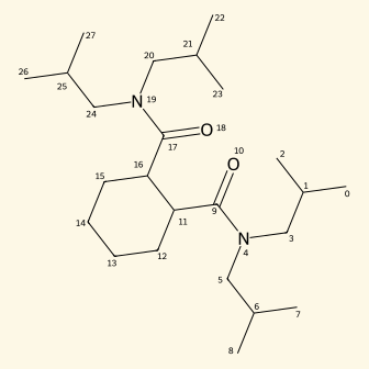 CC(C)CN(CC(C)C)C(=O)C1CCCCC1C(=O)N(CC(C)C)CC(C)C